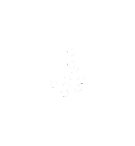 c1ccc(-c2ccc3c(c2)nc(-c2ccccc2)n3-c2ccc3c(-c4ccccc4)c4ccccc4c(-c4ccccc4)c3c2)cc1